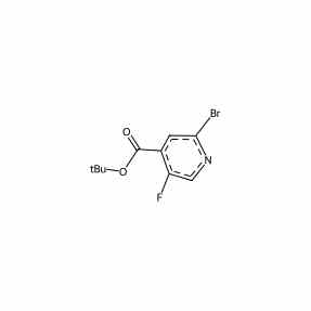 CC(C)(C)OC(=O)c1cc(Br)ncc1F